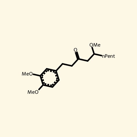 CCCCCC(CC(=O)CCc1ccc(OC)c(OC)c1)OC